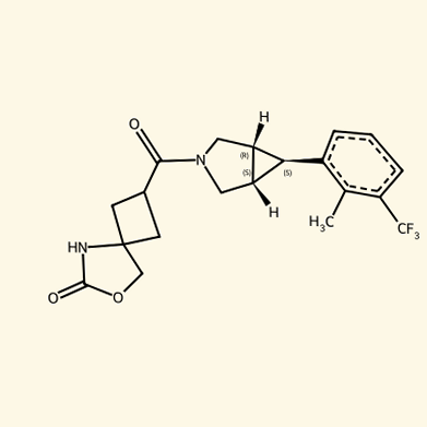 Cc1c([C@H]2[C@@H]3CN(C(=O)C4CC5(COC(=O)N5)C4)C[C@@H]32)cccc1C(F)(F)F